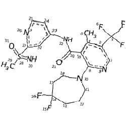 Cc1c(C(F)(F)F)cnc(N2CCCC(F)(F)CC2)c1C(=O)Nc1ccnc(S(C)(=N)=O)c1